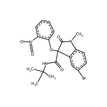 CN1C(=O)C(Oc2ccccc2[N+](=O)[O-])(C(=O)NC(C)(C)C)c2cc(Br)ccc21